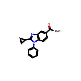 COC(=O)c1ccc2c(c1)nc(C1CC1)n2-c1ccccc1